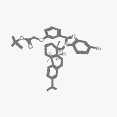 CC(C)c1ccc2c(c1)CC[C@H]1[C@@](C)(Cn3c(-c4cccc(OCC(=O)OC(C)(C)C)c4)nc4cc(Br)ccc43)CCC[C@]21C